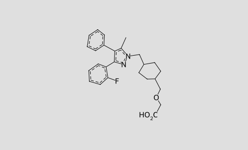 Cc1c(-c2ccccc2)c(-c2ccccc2F)nn1CC1CCC(COCC(=O)O)CC1